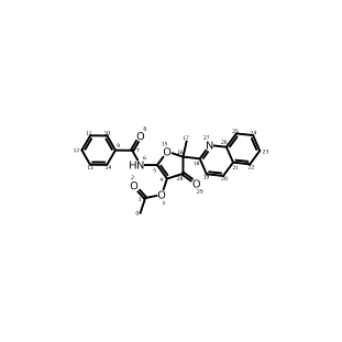 CC(=O)OC1=C(NC(=O)c2ccccc2)OC(C)(c2ccc3ccccc3n2)C1=O